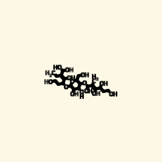 CC/C(=C(/O)C(CCO)OC1OC(CO)C(OC(O)/C(C)=C(\O)C(O)CCO)C(O)C1O)C(O)O